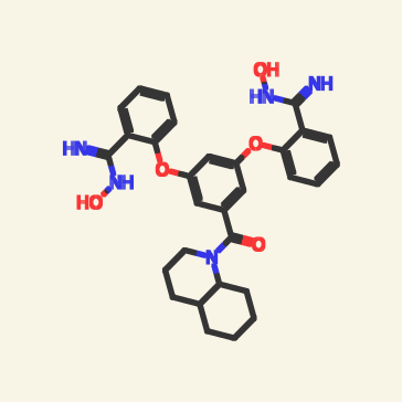 N=C(NO)c1ccccc1Oc1cc(Oc2ccccc2C(=N)NO)cc(C(=O)N2CCCC3CCCCC32)c1